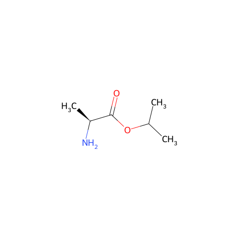 CC(C)OC(=O)[C@H](C)N